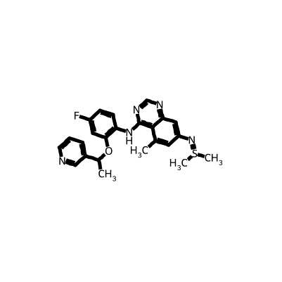 Cc1cc(N=S(C)C)cc2ncnc(Nc3ccc(F)cc3OC(C)c3cccnc3)c12